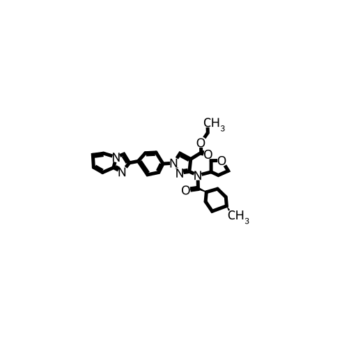 CCOC(=O)c1cn(-c2ccc(-c3cn4ccccc4n3)cc2)nc1N(C(=O)[C@H]1CC[C@H](C)CC1)C1CCOC1